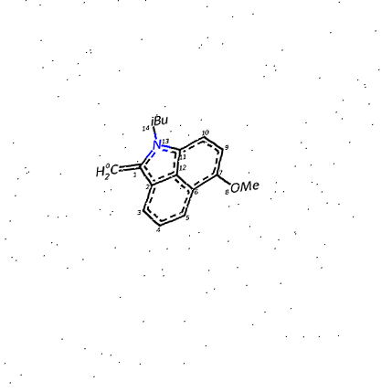 C=c1c2cccc3c(OC)ccc(c32)n1C(C)CC